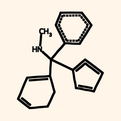 CNC(C1=C=CC=C1)(C1=CC=CCC1)c1ccccc1